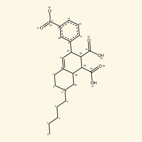 CCCCCN1CCC2=CC(c3cccc([N+](=O)[O-])c3)C(C(=O)O)C(C(=O)O)C2C1